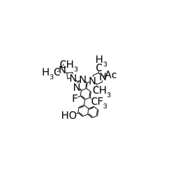 CC(=O)N1C[C@H](C)N(c2nc(N3CC(N(C)C)C3)nc3c(F)c(-c4cc(O)cc5ccccc45)c(C(F)(F)F)cc23)C[C@H]1C